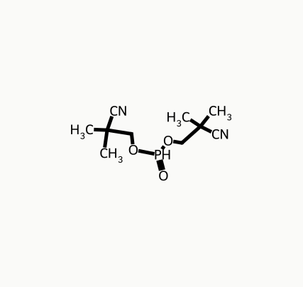 CC(C)(C#N)CO[PH](=O)OCC(C)(C)C#N